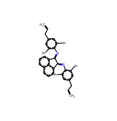 C=CCc1cc(C(C)C)c(N=C2C(=Nc3c(C(C)C)cc(CC=C)cc3C(C)C)c3cccc4cccc2c34)c(C(C)C)c1